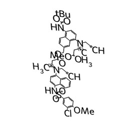 C#CCN(c1ccc(NC(=O)OC(C)(C)C)c2ccc(COC(=O)C[C@H](C)N(CC#C)c3ccc(NS(=O)(=O)c4ccc(OC)c(Cl)c4)c4ccccc34)cc12)[C@@H](C)CC(=O)OC